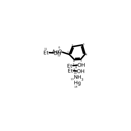 CC(=O)Oc1ccccc1.CCO.CCO.CCO.N.[Hg]